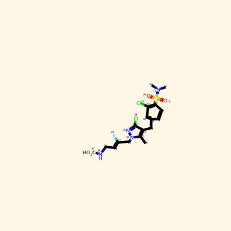 Cc1c(Cc2ccc(S(=O)(=O)N(C)C)c(Cl)c2)c(Cl)nn1C/C(F)=C/CNC(=O)O